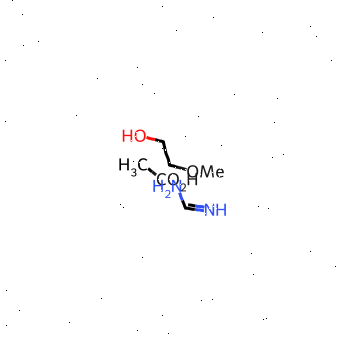 CC(=O)O.COCCO.N=CN